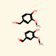 COc1cc(C=O)ccc1O.COc1cc(CO)ccc1O